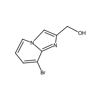 OCc1cn2cccc(Br)c2n1